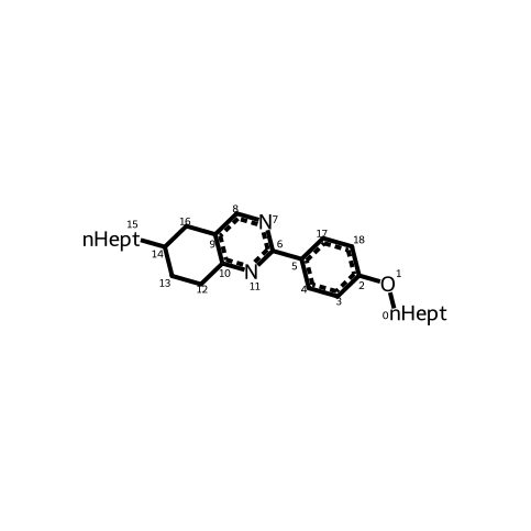 CCCCCCCOc1ccc(-c2ncc3c(n2)CCC(CCCCCCC)C3)cc1